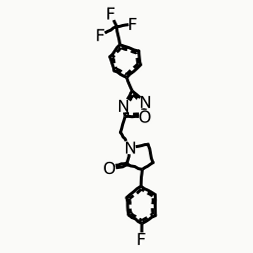 O=C1C(c2ccc(F)cc2)CCN1Cc1nc(-c2ccc(C(F)(F)F)cc2)no1